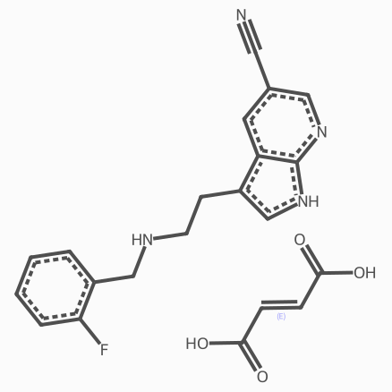 N#Cc1cnc2[nH]cc(CCNCc3ccccc3F)c2c1.O=C(O)/C=C/C(=O)O